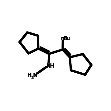 CCCCC(=C1CCCC1)C(NN)=C1CCCC1